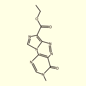 CCOC(=O)c1ncn2c1nnc1c(=O)n(C)cnc12